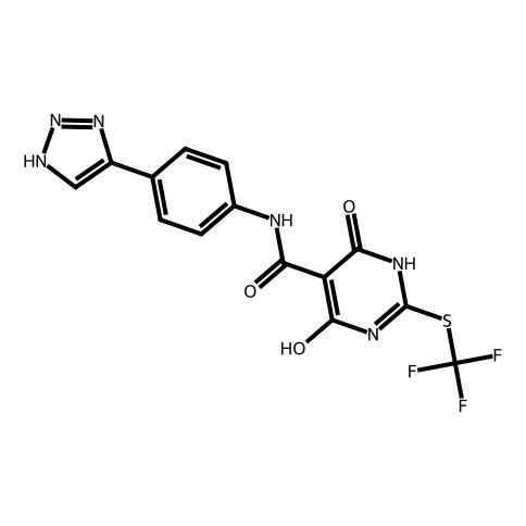 O=C(Nc1ccc(-c2c[nH]nn2)cc1)c1c(O)nc(SC(F)(F)F)[nH]c1=O